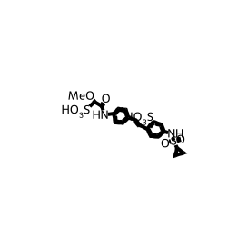 COC(C(=O)Nc1ccc(/C=C/c2ccc(NS(=O)(=O)C3CC3)cc2S(=O)(=O)O)cc1)S(=O)(=O)O